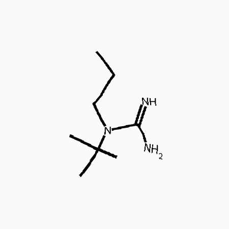 CCCN(C(=N)N)C(C)(C)C